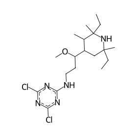 CCC1(C)CC(C(CCNc2nc(Cl)nc(Cl)n2)OC)C(C)C(C)(CC)N1